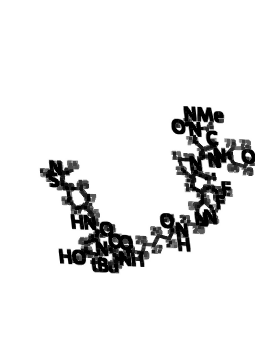 CNC(=O)N1CCc2c(c(N3CCCc4cc(-c5cnn(CCNC(=O)CCCCCC(=O)N[C@H](C(=O)N6C[C@H](O)C[C@H]6C(=O)NCc6ccc(-c7scnc7C)cc6)C(C)(C)C)c5)c(C(F)F)cc43)nn2C2CCOCC2)C1